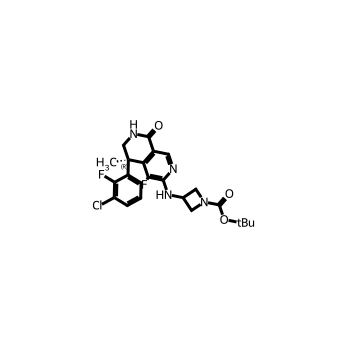 CC(C)(C)OC(=O)N1CC(Nc2ncc3c(c2F)[C@@](C)(c2cccc(Cl)c2F)CNC3=O)C1